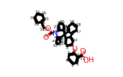 O=C(O)c1ccccc1Oc1ccc2c(c1)-c1ccccc1C21c2ccccc2N(C(=O)OCc2ccccc2)c2ccccc21